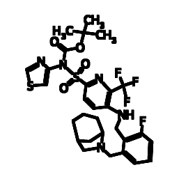 CC(C)(C)OC(=O)N(c1cscn1)S(=O)(=O)c1ccc(NCc2c(F)cccc2CN2CC3CCCC2C3)c(C(F)(F)F)n1